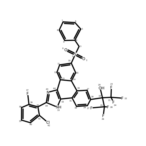 O=S(=O)(Cc1ccccc1)c1ccc2c(c1)c1cc(C(O)(C(F)(F)F)C(F)(F)F)ccc1c1[nH]c(-c3c(F)cccc3Cl)nc21